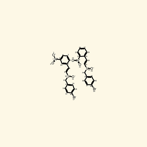 O=[N+]([O-])c1cccc(C=C[S+]([O-])Cc2ccc(Br)cc2)c1.O=[N+]([O-])c1ccccc1/C=C/[S+]([O-])Cc1ccc(Br)cc1